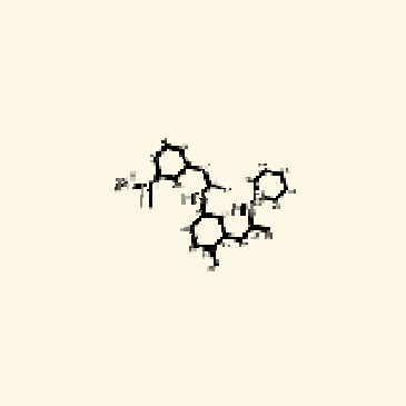 CC(C)NC1CCCC(CC(C)NC2CCC(C)C(CC(C)NN3CCCCC3)C2)C1